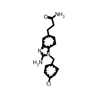 NC(=O)CCc1ccc2c(c1)nc(N)n2Cc1ccc(Cl)cc1